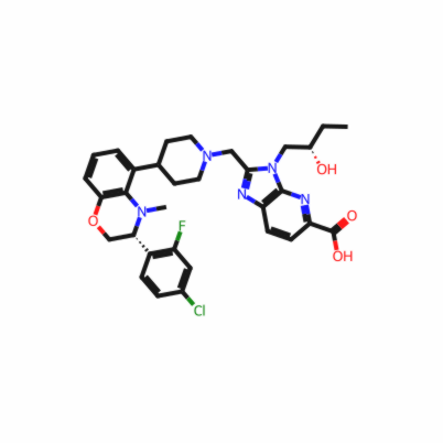 CC[C@H](O)Cn1c(CN2CCC(c3cccc4c3N(C)[C@H](c3ccc(Cl)cc3F)CO4)CC2)nc2ccc(C(=O)O)nc21